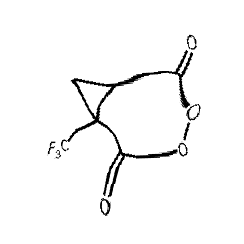 O=C1OOC(=O)C2(C(F)(F)F)CC12